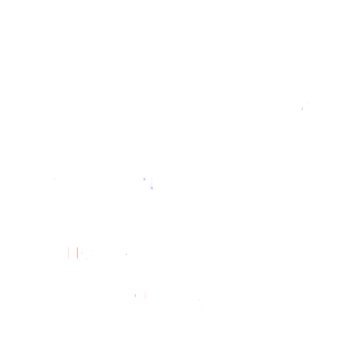 O=C(O)c1c(-c2cccs2)c2cc(Cl)ccc2n1C(Cl)c1ccccc1